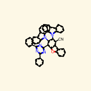 N#Cc1c(-n2c3ccccc3c3ccccc32)c(-n2c3ccccc3c3ccccc32)c(-c2nc(-c3ccccc3)nc(-c3ccccc3)n2)c2oc3ccccc3c12